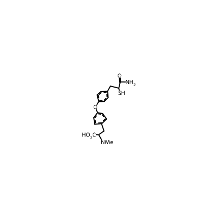 CNC(Cc1ccc(Oc2ccc(CC(S)C(N)=O)cc2)cc1)C(=O)O